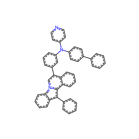 c1ccc(-c2ccc(N(c3ccncc3)c3cccc(-c4cn5c6ccccc6c(-c6ccccc6)c5c5ccccc45)c3)cc2)cc1